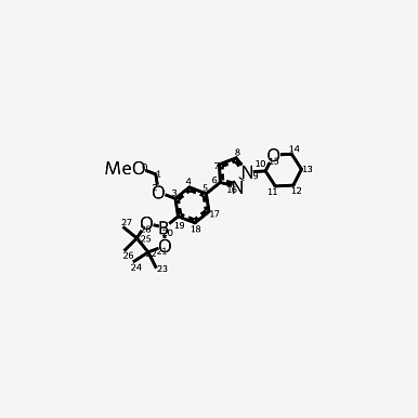 COCOc1cc(-c2ccn(C3CCCCO3)n2)ccc1B1OC(C)(C)C(C)(C)O1